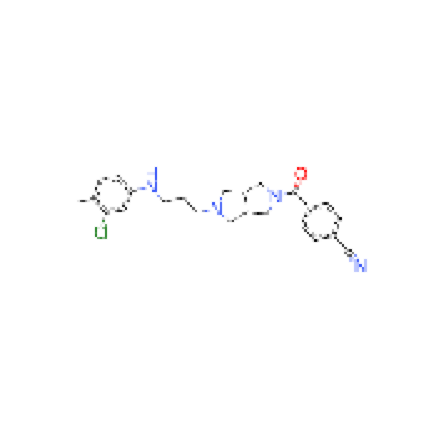 Cc1ccc(NCCCN2CC3CN(C(=O)c4ccc(C#N)cc4)CC3C2)cc1Cl